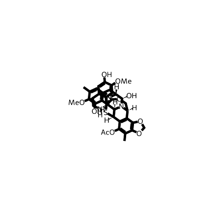 COc1cc2c(cc1O)CCN[C@]21S[C@@H]2c3c(OC(C)=O)c(C)c4c(c3[C@H](COC1=O)N1[C@@H]2[C@H]2c3c(cc(C)c(OC)c3O)C[C@H]([C@@H]1O)N2C)OCO4